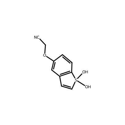 N#CCOc1ccc2c(c1)C=CS2(O)O